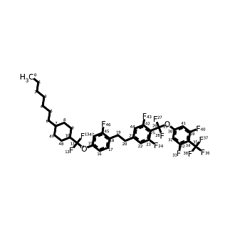 CCCCCCCC1CCC(C(F)(F)Oc2ccc(CCc3cc(F)c(C(F)(F)Oc4cc(F)c(C(F)(F)F)c(F)c4)c(F)c3)c(F)c2)CC1